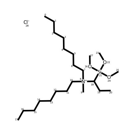 CCCCCCCC[N+](C)(CCCCCCCC)C(CC)[Si](OC)(OC)OC.[Cl-]